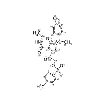 Cc1ccc(S(=O)(=O)OCC(=O)c2nn(C(C)c3ccc(C(F)(F)F)cc3)c3nc(C)[nH]c(=O)c23)cc1